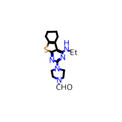 CCNc1nc(N2CCN(C=O)CC2)nc2sc3c(c12)CCCC3